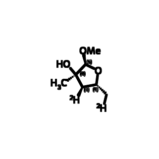 [2H]C[C@H]1O[C@H](OC)[C@](C)(O)[C@@H]1[2H]